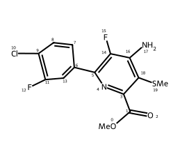 COC(=O)c1nc(-c2ccc(Cl)c(F)c2)c(F)c(N)c1SC